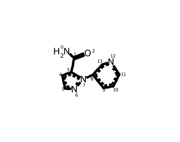 NC(=O)c1ccnn1-c1cccnc1